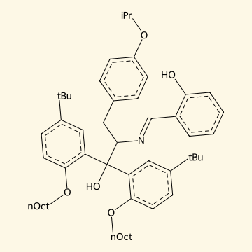 CCCCCCCCOc1ccc(C(C)(C)C)cc1C(O)(c1cc(C(C)(C)C)ccc1OCCCCCCCC)C(Cc1ccc(OC(C)C)cc1)N=Cc1ccccc1O